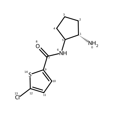 N[C@H]1CCCC1NC(=O)c1ccc(Cl)s1